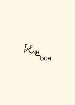 OOCCNSC(F)(F)F